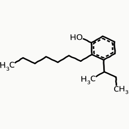 CCCCCCCc1c(O)cccc1C(C)CC